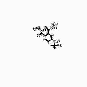 CCC(C)(C)Nc1ccc(C(=O)NC(C)(C)C)c(C(=O)NC(C)(C)C)c1